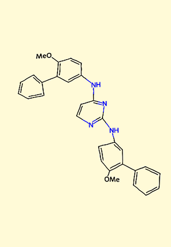 COc1ccc(Nc2ccnc(Nc3ccc(OC)c(-c4ccccc4)c3)n2)cc1-c1ccccc1